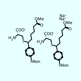 CCCCCCCCCc1ccc(C(CCCCC(=O)OC)SC[C@H](N)C(=O)[O-])cc1.CCCCCCCCCc1ccc(C(CCCCC(=O)OC)SC[C@H](N)C(=O)[O-])cc1.[Na+].[Na+]